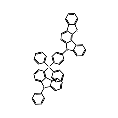 c1ccc(-n2c3ccccc3c3c([Si](c4ccccc4)(c4ccccc4)c4ccc(-n5c6ccccc6c6c7oc8ccccc8c7ccc65)cc4)cccc32)cc1